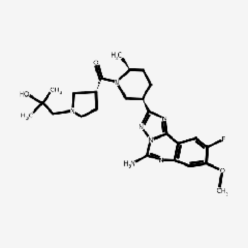 COc1cc2nc(N)n3nc([C@@H]4CC[C@H](C)N(C(=O)[C@@H]5CCN(CC(C)(C)O)C5)C4)nc3c2cc1F